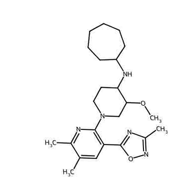 COC1CN(c2nc(C)c(C)cc2-c2nc(C)no2)CCC1NC1CCCCCC1